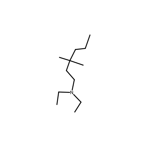 CCCC(C)(C)CCN(CC)CC